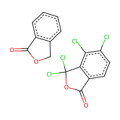 O=C1OC(Cl)(Cl)c2c1ccc(Cl)c2Cl.O=C1OCc2ccccc21